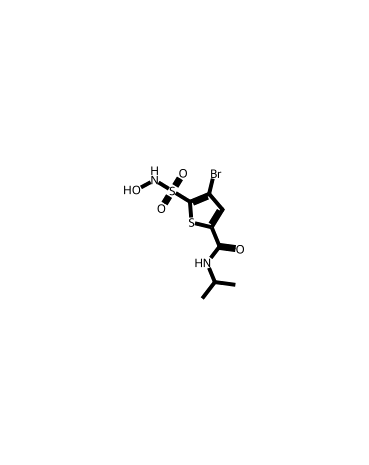 CC(C)NC(=O)c1cc(Br)c(S(=O)(=O)NO)s1